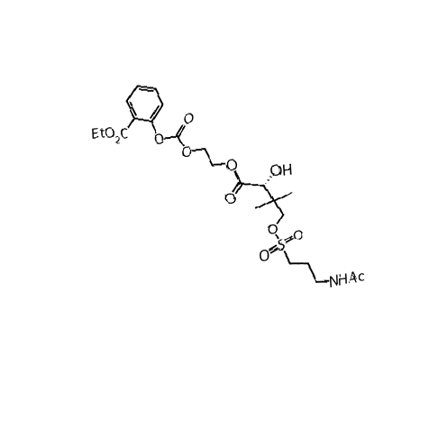 CCOC(=O)c1ccccc1OC(=O)OCCOC(=O)[C@H](O)C(C)(C)COS(=O)(=O)CCCNC(C)=O